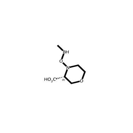 CBON1CCOC[C@@H]1C(=O)O